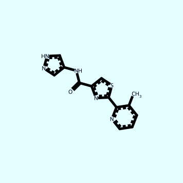 Cc1cccnc1-c1nc(C(=O)Nc2cn[nH]c2)cs1